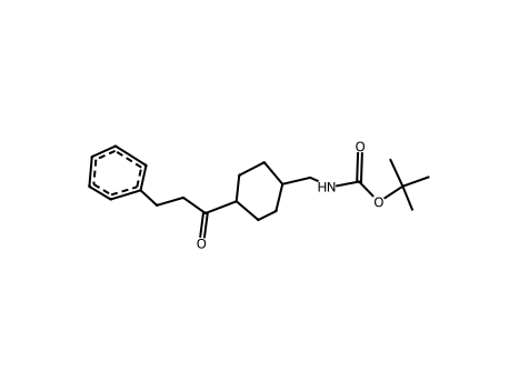 CC(C)(C)OC(=O)NCC1CCC(C(=O)CCc2ccccc2)CC1